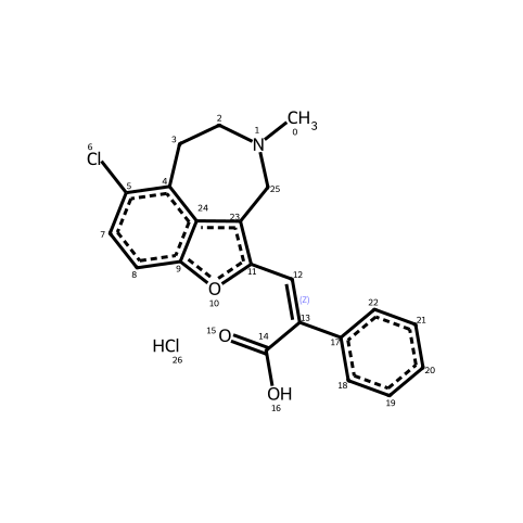 CN1CCc2c(Cl)ccc3oc(/C=C(\C(=O)O)c4ccccc4)c(c23)C1.Cl